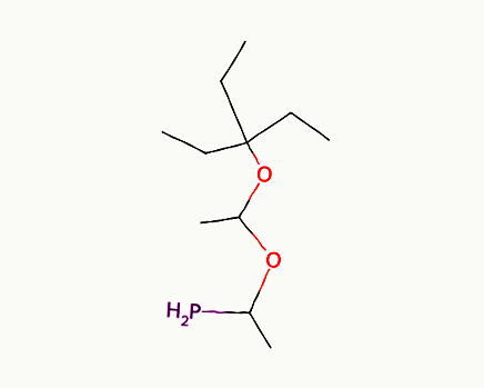 CCC(CC)(CC)OC(C)OC(C)P